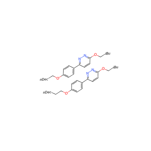 CCCCCCCCCCCCOc1ccc(-c2ccc(OCC(C)CC)nn2)cc1.CCCCCCCCCCCOc1ccc(-c2ccc(OCC(C)CC)nn2)cc1